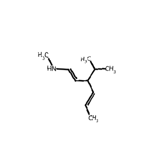 CC=CC(C=CNC)C(C)C